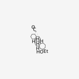 CC[C@@]1(O)CCC[C@H]2[C@H](CC[C@@H]3[C@@H]2CC[C@]2(C)[C@@H](C=C=O)CCC[C@@H]32)C1